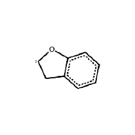 [C]1Cc2ccccc2O1